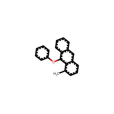 Cc1cccc2cc3ccccc3c(Oc3ccccc3)c12